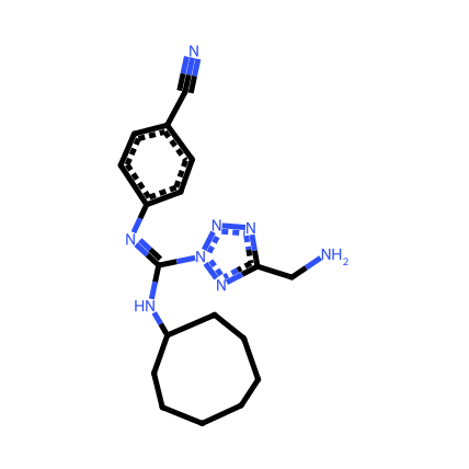 N#Cc1ccc(N=C(NC2CCCCCCC2)n2nnc(CN)n2)cc1